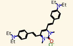 CCN(CC)c1ccc(C=Cc2cc(C=Cc3ccc(N(CC)CC)cc3)[n+](C)c(=O)n2C)cc1.[Cl-]